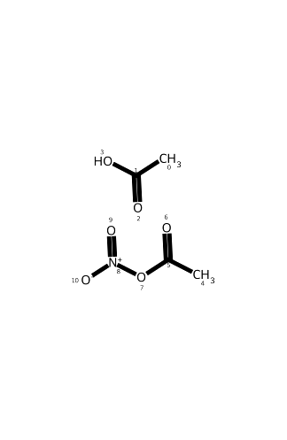 CC(=O)O.CC(=O)O[N+](=O)[O-]